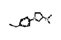 CCc1ccc(N2CC[C@@H](N(C)C)C2)cc1